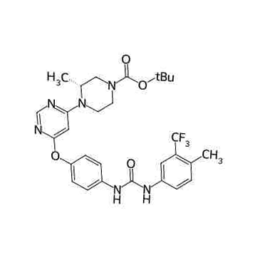 Cc1ccc(NC(=O)Nc2ccc(Oc3cc(N4CCN(C(=O)OC(C)(C)C)C[C@H]4C)ncn3)cc2)cc1C(F)(F)F